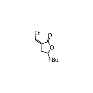 CCC=C1CC(CCCC)OC1=O